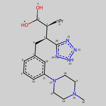 CCC[C@H](C(O)O)[C@H](Cc1cccc(N2CCN(C)CC2)c1)c1nn[nH]n1